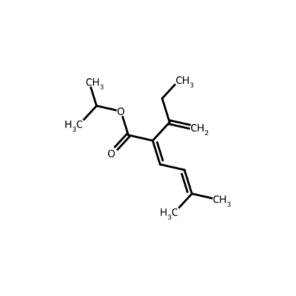 C=C(CC)/C(=C\C=C(C)C)C(=O)OC(C)C